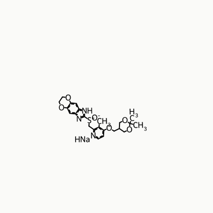 Cc1c(OCC2COC(C)(C)OC2)ccnc1C[S+]([O-])c1nc2cc3c(cc2[nH]1)OCCO3.[NaH]